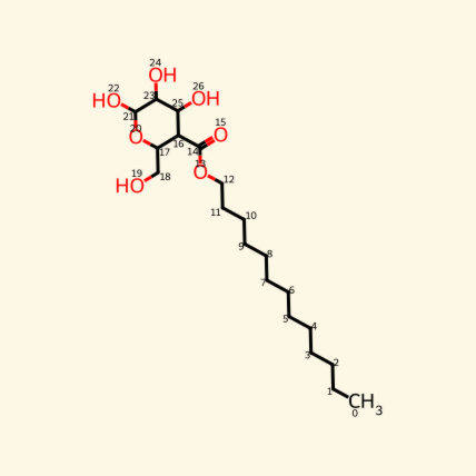 CCCCCCCCCCCCCOC(=O)C1C(CO)OC(O)C(O)C1O